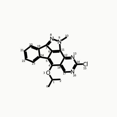 CC(C)Oc1c2c3c(nn(C)c3c3nc(Cl)ncc13)-c1ccccc1-2